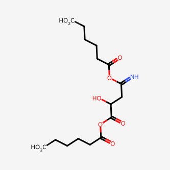 N=C(CC(O)C(=O)OC(=O)CCCCC(=O)O)OC(=O)CCCCC(=O)O